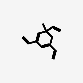 C=CC1=CC(C)(C=C)CC(C=C)=C1